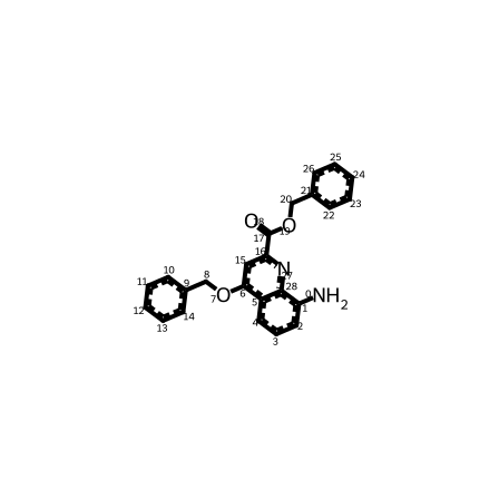 Nc1cccc2c(OCc3ccccc3)cc(C(=O)OCc3ccccc3)nc12